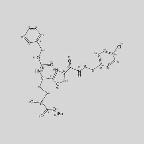 CC(C)(C)OC(=O)C(=O)CCC(NC(=O)OCc1ccccc1)C1=NC(C(=O)NCCc2ccc(Cl)cc2)CO1